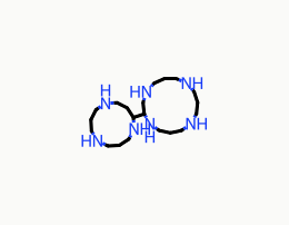 C1CNCCCNCC(C2CCNCCCNCCCN2)NCCCNC1